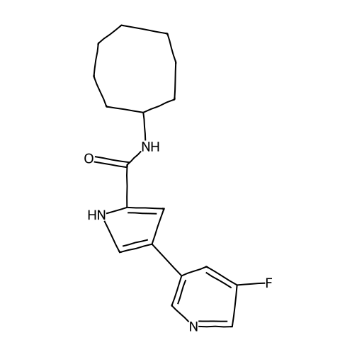 O=C(NC1CCCCCCC1)c1cc(-c2cncc(F)c2)c[nH]1